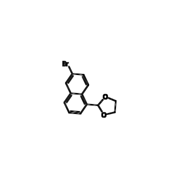 Brc1ccc2c(C3OCCO3)cccc2c1